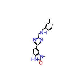 C=C/C=C(\C=C/C)CNCc1ncc(-c2ccc3[nH]c(=O)n(C)c3c2)cn1